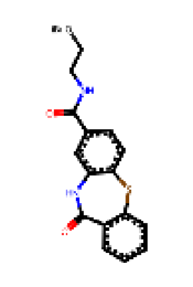 CC(C)COCCNC(=O)c1ccc2c(c1)NC(=O)c1ccccc1S2